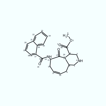 COC(=O)C1CNCC2C/C=C\CC(NC(=O)c3nccc4ccccc34)C(=O)N21